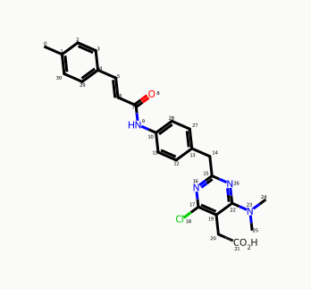 Cc1ccc(/C=C/C(=O)Nc2ccc(Cc3nc(Cl)c(CC(=O)O)c(N(C)C)n3)cc2)cc1